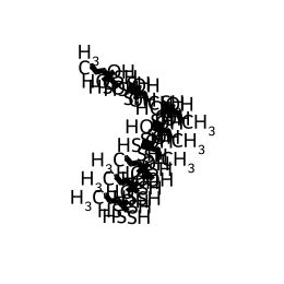 CCCC(O)(O)C(O)(O)S.CCCC(O)(O)C(O)(S)S.CCCC(O)(O)C(S)(S)S.CCCC(O)(S)C(S)(S)S.CCCCC(O)(O)C(O)(O)S.CCCCC(O)(O)C(O)(S)S.CCCCC(O)(O)C(S)(S)S.CCCCC(O)(S)C(S)(S)S